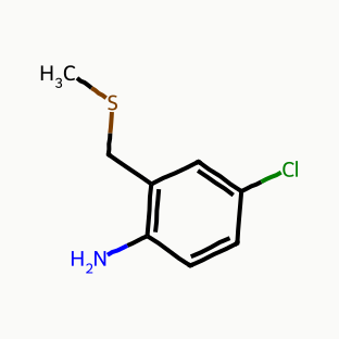 CSCc1cc(Cl)ccc1N